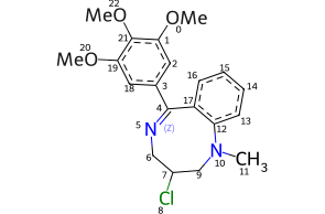 COc1cc(/C2=N/CC(Cl)CN(C)c3ccccc32)cc(OC)c1OC